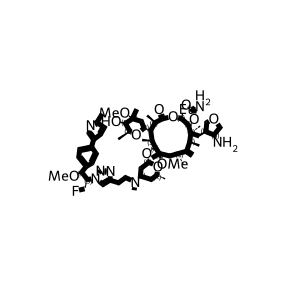 C=C1[C@H](C)C[C@@](C)(OC)[C@H](O[C@H]2C[C@@H](N(C)CCc3cn([C@H](CF)[C@H](OC)c4ccc(-c5ccc(C)nc5)cc4)nn3)C[C@@H](C)O2)[C@@H](C)C([C@H]2C[C@@](C)(OC)[C@@H](O)[C@H](C)O2)[C@@H](C)C(=O)O[C@H](CC)[C@@H](OC(N)=O)[C@@](C)(C[C@H]2COC[C@H]2N)[C@H]1C